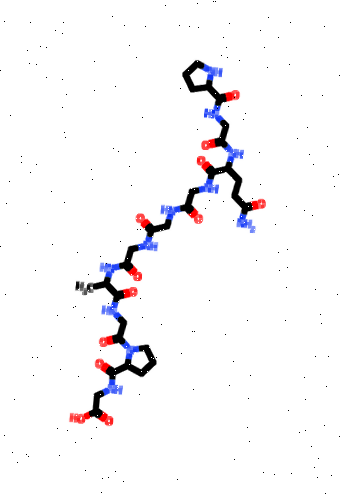 CC(NC(=O)CNC(=O)CNC(=O)CNC(=O)C(CCC(N)=O)NC(=O)CNC(=O)C1CCCN1)C(=O)NCC(=O)N1CCCC1C(=O)NCC(=O)O